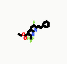 CCOC(=O)c1cc2cc(F)c(C=Cc3ccccc3)nc2nc1C(F)(F)F